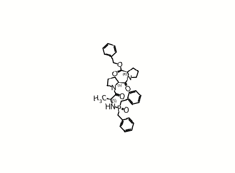 C[C@H](NP(=O)(Cc1ccccc1)Cc1ccccc1)C(=O)N1CCC[C@H]1C(=O)N1CCC[C@@H]1C(=O)OCc1ccccc1